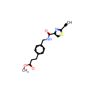 C#Cc1nc(C(=O)NCc2ccc(CCC(=O)OC)cc2)cs1